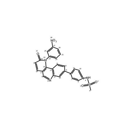 CS(=O)(=O)Nc1ccc(-c2ccc3c(c2)ncc2ccc(=O)n(-c4cccc([N+](=O)[O-])c4)c23)cc1